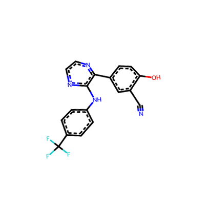 N#Cc1cc(-c2nccnc2Nc2ccc(C(F)(F)F)cc2)ccc1O